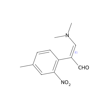 Cc1ccc(/C(C=O)=C\N(C)C)c([N+](=O)[O-])c1